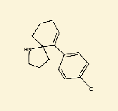 Clc1ccc(C2=CCCCC23CCCN3)cc1